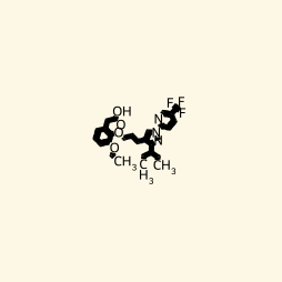 CCOc1cccc(CC(=O)O)c1OCCCc1cn(-c2ccc(C(F)(F)F)cn2)nc1C(CC)CC